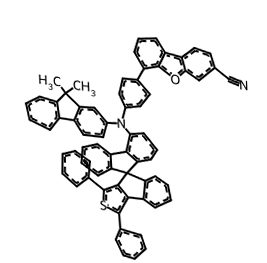 CC1(C)c2ccccc2-c2ccc(N(c3ccc(-c4cccc5c4oc4cc(C#N)ccc45)cc3)c3cccc4c3-c3ccccc3C43c4ccccc4-c4c(-c5ccccc5)sc(-c5ccccc5)c43)cc21